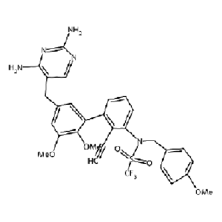 C#Cc1c(-c2cc(Cc3cnc(N)nc3N)cc(OC)c2OC)cccc1N(Cc1ccc(OC)cc1)S(=O)(=O)C(F)(F)F